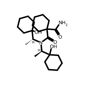 C[C@@H](N(C(=O)C1(C(N)=O)CCCCC1)[C@H](C)C1(O)CCCCC1)C1(O)CCCCC1